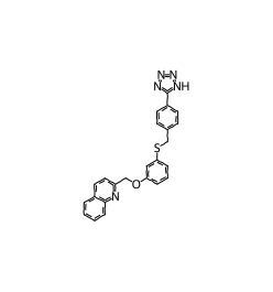 c1cc(OCc2ccc3ccccc3n2)cc(SCc2ccc(-c3nnn[nH]3)cc2)c1